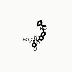 O=C(NC(C(=O)O)c1ccc(Cl)cc1)c1ccc2ccc(-c3nc(-c4ccccc4)cs3)cc2c1